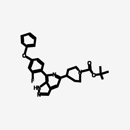 CC(C)(C)OC(=O)N1CCC(c2cc3cn[nH]c3c(-c3ccc(Oc4ccccc4)cc3F)n2)CC1